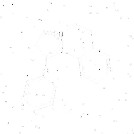 c1ccc(-c2ccn3c2-c2ccccc2CC3)cc1